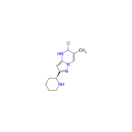 CC1=Cn2nc([C@@H]3CCCCN3)cc2NC1Cl